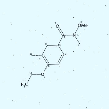 CON(C)C(=O)c1ccc(OCC(F)(F)F)c(C)c1